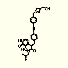 N#CCC1CN(Cc2ccc(C#Cc3ccc(CC(C(=O)NCC(F)F)c4nc[nH]c(=O)c4O)cc3)cc2)C1